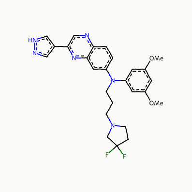 COc1cc(OC)cc(N(CCCN2CCC(F)(F)C2)c2ccc3ncc(-c4cn[nH]c4)nc3c2)c1